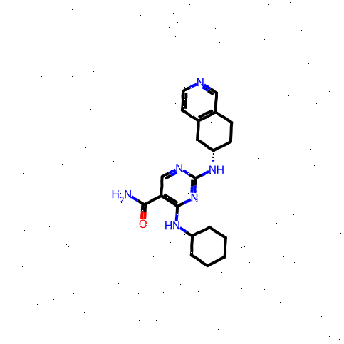 NC(=O)c1cnc(N[C@H]2CCc3cnccc3C2)nc1NC1CCCCC1